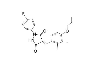 CCCOc1ccc(C=C2C(=O)NN(c3ccc(F)cc3)C2=O)c(C)c1C